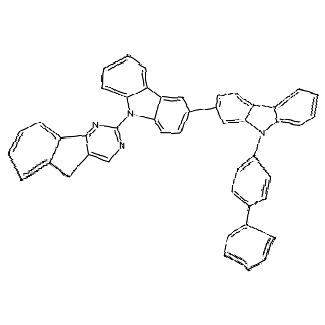 c1ccc(-c2ccc(-n3c4ccccc4c4ccc(-c5ccc6c(c5)c5ccccc5n6-c5ncc6c(n5)-c5ccccc5C6)cc43)cc2)cc1